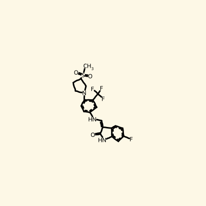 CS(=O)(=O)C1CCN(c2ccc(NC=C3C(=O)Nc4cc(F)ccc43)cc2C(F)(F)F)C1